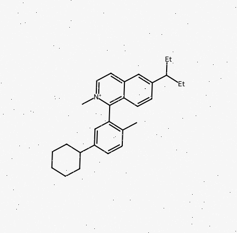 CCC(CC)c1ccc2c(-c3cc(C4CCCCC4)ccc3C)[n+](C)ccc2c1